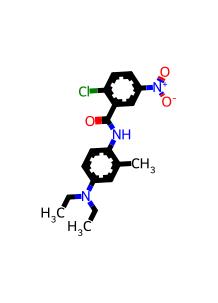 CCN(CC)c1ccc(NC(=O)c2cc([N+](=O)[O-])ccc2Cl)c(C)c1